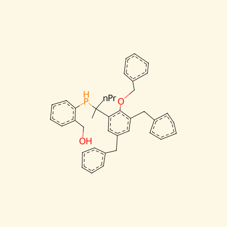 CCCC(C)(Pc1ccccc1CO)c1cc(Cc2ccccc2)cc(Cc2ccccc2)c1OCc1ccccc1